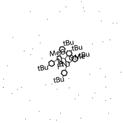 COc1cc(C(C)(C)C)cc(OC)c1C1=C2C(c3ccc(C(C)(C)C)cc3)=CC(c3ccc(C(C)(C)C)cc3)=[N+]2B(F)n2c(-c3ccc(C(C)(C)C)cc3)cc(-c3ccc(C(C)(C)C)cc3)c21